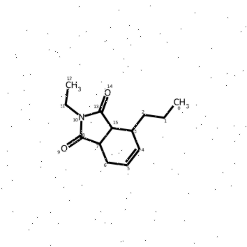 CCCC1C=CCC2C(=O)N(CC)C(=O)C12